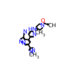 C#CC(=O)N1CCC(C)(Nc2ccc(-c3cc(-c4cnn(C)c4)cn4ncc(C#N)c34)cn2)CC1